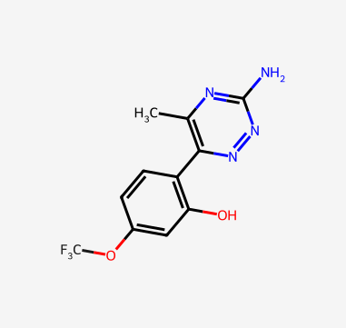 Cc1nc(N)nnc1-c1ccc(OC(F)(F)F)cc1O